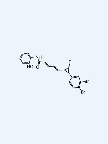 O=C(/C=C/C=C/C1C(F)C1c1ccc(Br)c(Br)c1)Nc1ccccc1O